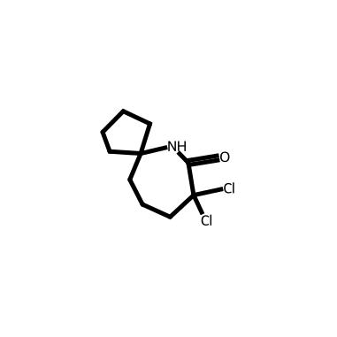 O=C1NC2(CCCC2)CCCC1(Cl)Cl